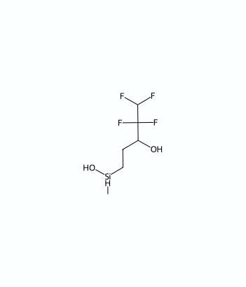 C[SiH](O)CCC(O)C(F)(F)C(F)F